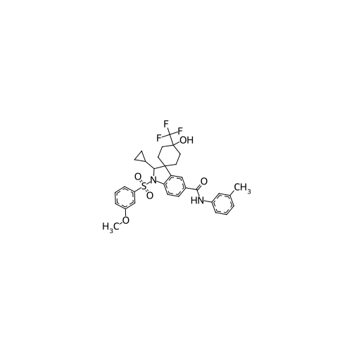 COc1cccc(S(=O)(=O)N2c3ccc(C(=O)Nc4cccc(C)c4)cc3C3(CCC(O)(C(F)(F)F)CC3)C2C2CC2)c1